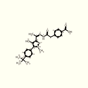 CC(=NNC(=O)Cc1ccc(C(=O)O)cc1)c1nn(C)c(-c2ccc(C(C)(C)C)cc2)c1O